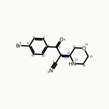 N#C/C(C(=O)c1ccc(Br)cc1)=C1/COCCN1